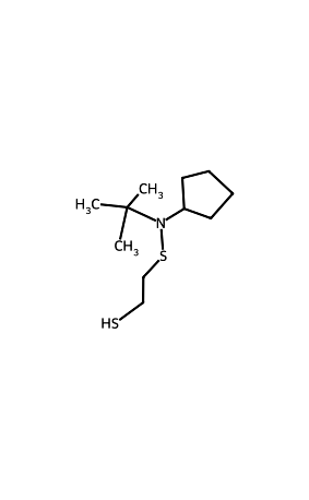 CC(C)(C)N(SCCS)C1CCCC1